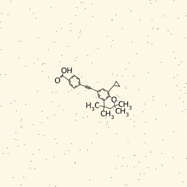 CC1(C)CC(C)(C)c2cc(C#Cc3ccc(C(=O)O)cc3)cc(C3CC3)c2O1